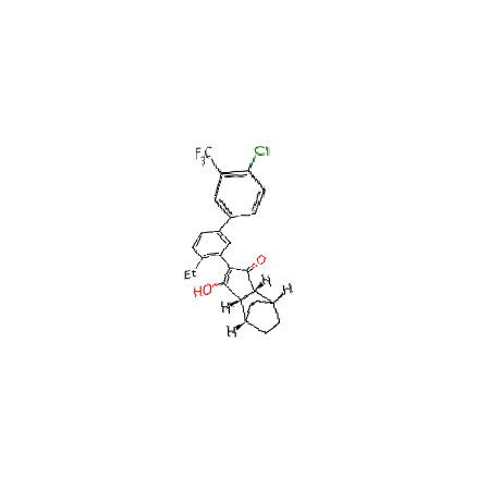 CCc1ccc(-c2ccc(Cl)c(C(F)(F)F)c2)cc1C1=C(O)[C@H]2[C@H]3CC[C@H](CC3)[C@H]2C1=O